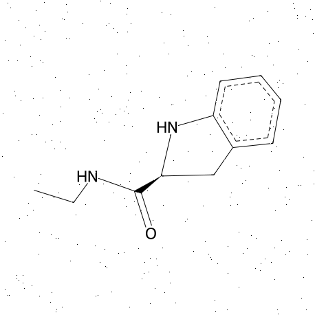 CCNC(=O)[C@@H]1Cc2ccccc2N1